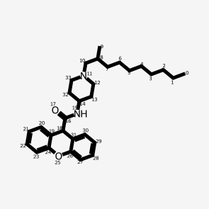 CCCCCCCCC(C)CN1CCC(NC(=O)C2c3ccccc3Oc3ccccc32)CC1